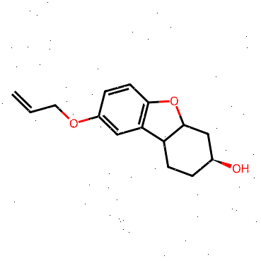 C=CCOc1ccc2c(c1)C1CC[C@H](O)CC1O2